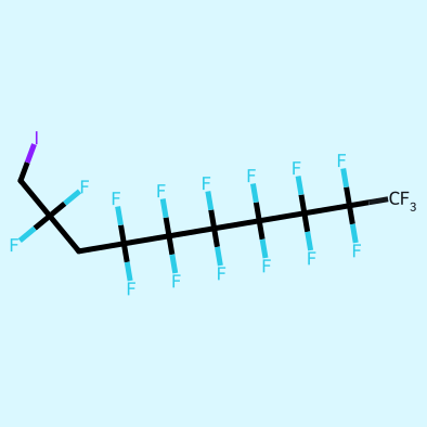 FC(F)(CI)CC(F)(F)C(F)(F)C(F)(F)C(F)(F)C(F)(F)C(F)(F)C(F)(F)F